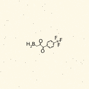 BCC(=O)C(=O)c1ccc(C(F)(F)F)cc1